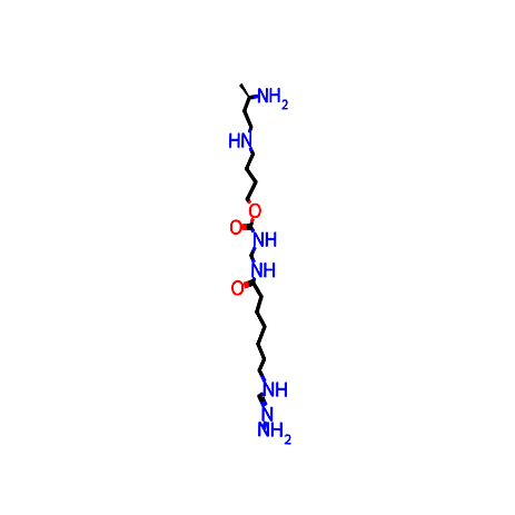 C[C@@H](N)CCNCCCCOC(=O)NCNC(=O)CCCCCCNC=NN